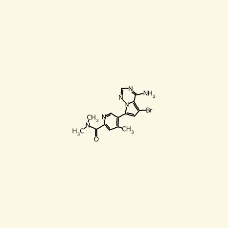 Cc1cc(C(=O)N(C)C)ncc1-c1cc(Br)c2c(N)ncnn12